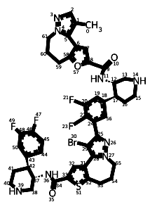 Cc1cnn2c1-c1cc(C(=O)N[C@@H]3CNCC[C@H]3c3cc(F)c(F)c(-c4nn5c(c4Br)-c4cc(C(=O)N[C@@H]6CNCC[C@H]6c6ccc(F)c(F)c6)sc4CCC5)c3)oc1CCC2